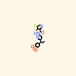 C/C=C(/c1ccc(S(C)(=O)=O)cc1)c1ccc(NC(=O)c2cncc(F)c2C)nc1